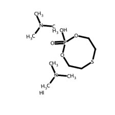 CN(C)C.CN(C)C.I.O=P1(O)OCCSCCO1